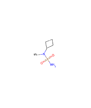 CC(C)N(C1CCC1)S(N)(=O)=O